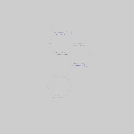 Cc1ccc(-c2nccc3[nH]c(=O)ccc23)cc1